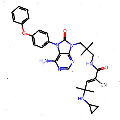 CC(C)(CNC(=O)C(C#N)=CC(C)(C)NC1CC1)Cn1c(=O)n(-c2ccc(Oc3ccccc3)cc2)c2c(N)ncnc21